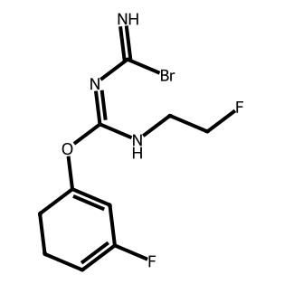 N=C(Br)/N=C(\NCCF)OC1=CC(F)=CCC1